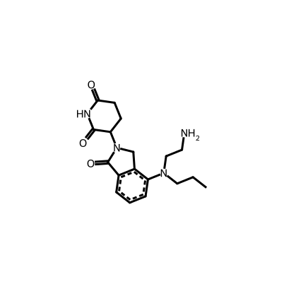 CCCN(CCN)c1cccc2c1CN(C1CCC(=O)NC1=O)C2=O